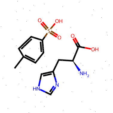 Cc1ccc(S(=O)(=O)O)cc1.N[C@@H](Cc1c[nH]cn1)C(=O)O